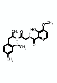 COc1cc(C)ccc1CC(C)OC(=O)CNC(=O)c1nccc(OC)c1O